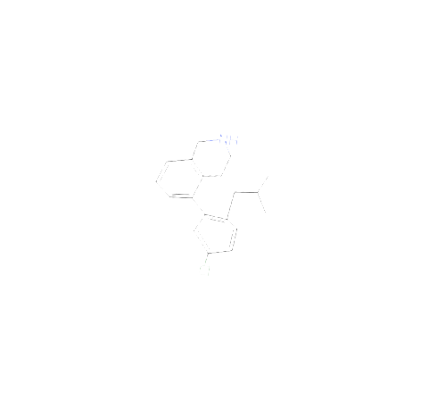 CC(C)Cc1ccc(Cl)cc1-c1cccc2c1CCNC2